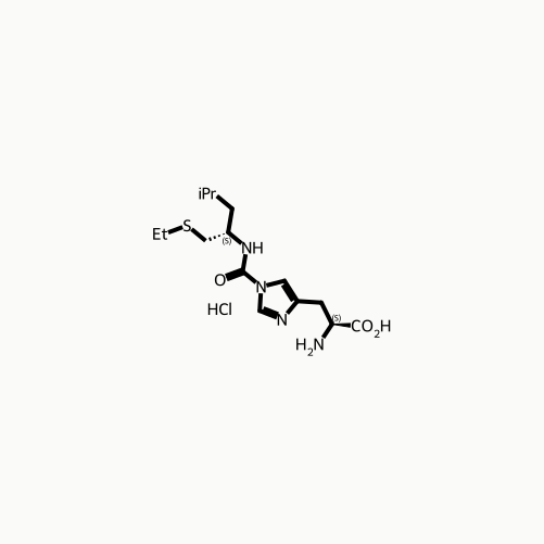 CCSC[C@H](CC(C)C)NC(=O)n1cnc(C[C@H](N)C(=O)O)c1.Cl